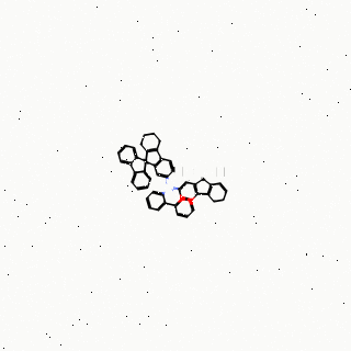 CC1(C)C2=C(CCC=C2)c2ccc(N(c3ccc4c(c3)C3(C5=C4CCCC5)c4ccccc4-c4ccccc43)c3ccccc3-c3ccccc3)cc21